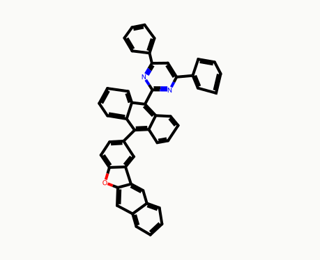 c1ccc(-c2cc(-c3ccccc3)nc(-c3c4ccccc4c(-c4ccc5oc6cc7ccccc7cc6c5c4)c4ccccc34)n2)cc1